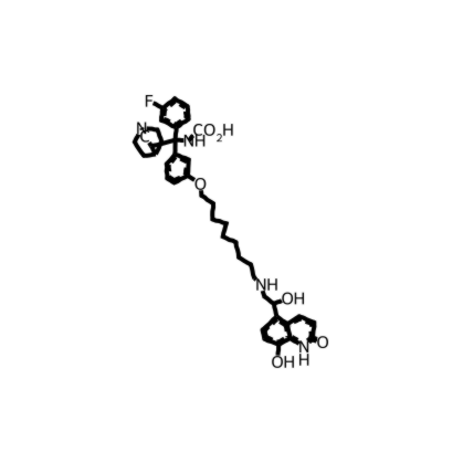 O=C(O)NC(c1cccc(F)c1)(c1cccc(OCCCCCCCCCNCC(O)c2ccc(O)c3[nH]c(=O)ccc23)c1)C1CN2CCC1CC2